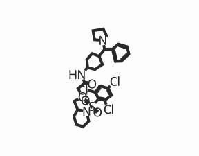 O=C(COCC1CCCCN1S(=O)(=O)c1c(Cl)cc(Cl)cc1Cl)NC1CCC(C(c2ccccc2)N2CCCC2)CC1